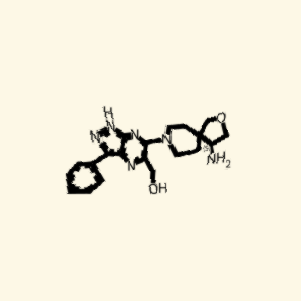 N[C@@H]1COCC12CCN(c1nc3[nH]nc(-c4ccccc4)c3nc1CO)CC2